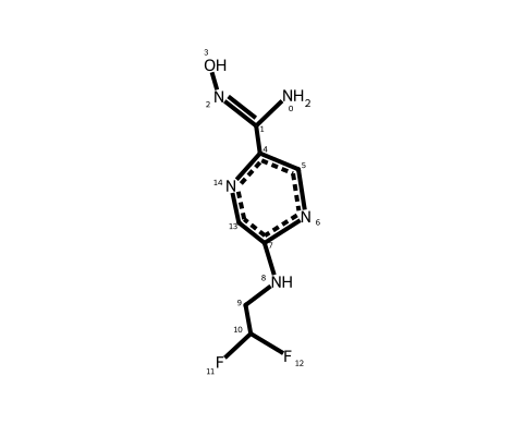 N/C(=N\O)c1cnc(NCC(F)F)cn1